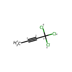 CC#CC(Cl)(Cl)Cl